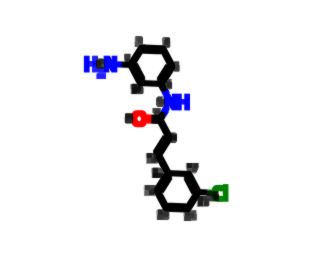 Nc1cccc(NC(=O)/C=C/c2cccc(Cl)c2)c1